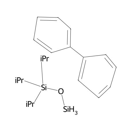 CC(C)[Si](O[SiH3])(C(C)C)C(C)C.c1ccc(-c2ccccc2)cc1